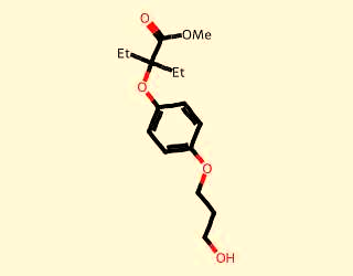 CCC(CC)(Oc1ccc(OCCCO)cc1)C(=O)OC